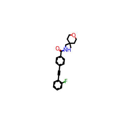 CC1(CNC(=O)c2ccc(C#Cc3ccccc3F)cc2)CCOCC1